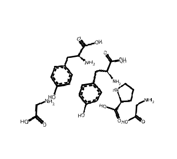 NCC(=O)O.NCC(=O)O.N[C@@H](Cc1ccc(O)cc1)C(=O)O.N[C@@H](Cc1ccc(O)cc1)C(=O)O.O=C(O)[C@@H]1CCCN1